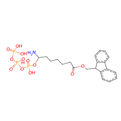 NC(CCCCCC(=O)OCC1c2ccccc2-c2ccccc21)OP(=O)(O)OP(=O)(O)OP(=O)(O)O